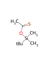 CC(=S)O[Si](C)(C)C(C)(C)C